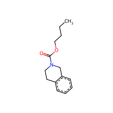 CCCCOC(=O)N1CCc2ccccc2C1